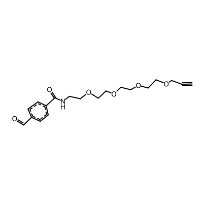 C#CCOCCOCCOCCOCCNC(=O)c1ccc(C=O)cc1